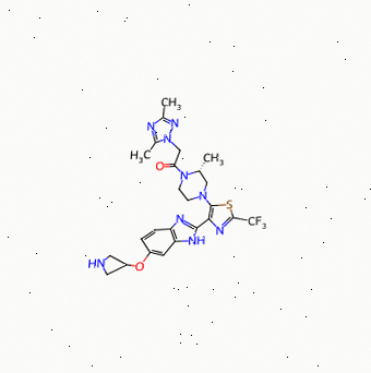 Cc1nc(C)n(CC(=O)N2CCN(c3sc(C(F)(F)F)nc3-c3nc4ccc(OC5CNC5)cc4[nH]3)C[C@H]2C)n1